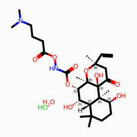 C=C[C@@]1(C)CC(=O)[C@]2(O)[C@@]3(C)[C@@H](O)CCC(C)(C)[C@@H]3[C@H](O)[C@H](OC(=O)NOC(=O)CCCN(C)C)[C@@]2(C)O1.Cl.O